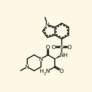 CN1CCN(C(=O)[C@@H](NS(=O)(=O)c2cccc3c2ccn3C)C(N)=O)CC1